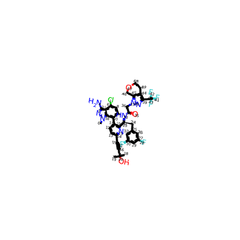 Cn1nc(N)c2c(Cl)ccc(-c3ccc(C#CC(C)(C)O)nc3[C@H](Cc3cc(F)cc(F)c3)NC(=O)Cn3nc(C(F)(F)F)c4c3COCC4)c21